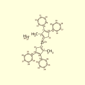 CC1=[C]([Zr+2][C]2=C(C)C(c3ccccc3)=C(c3ccccc3)C2)CC(c2ccccc2)=C1c1ccccc1.[H-].[H-]